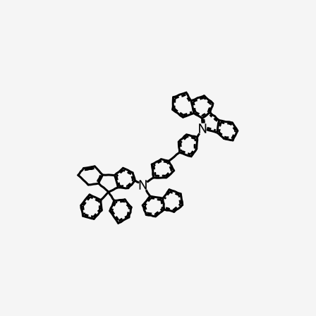 C1=CC2=C(CC1)C(c1ccccc1)(c1ccccc1)c1cc(N(c3ccc(-c4ccc(-n5c6ccccc6c6ccc7ccccc7c65)cc4)cc3)c3cccc4ccccc34)ccc12